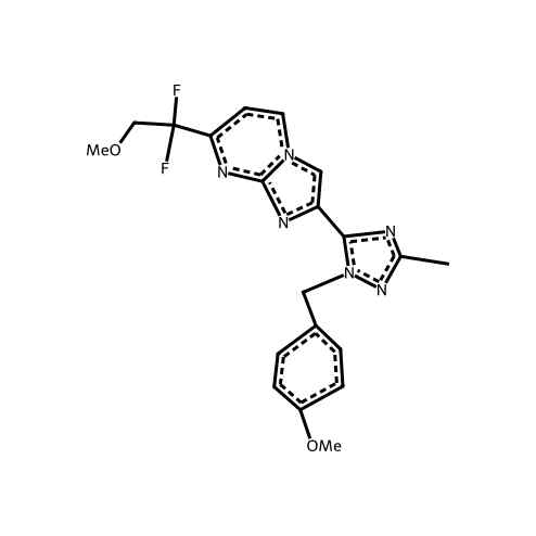 COCC(F)(F)c1ccn2cc(-c3nc(C)nn3Cc3ccc(OC)cc3)nc2n1